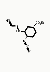 CCOC(=O)[C@H]1CC[C@H](N=[N+]=[N-])[C@H](BOC=N)C1